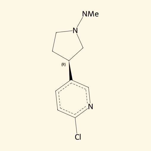 CNN1CC[C@H](c2ccc(Cl)nc2)C1